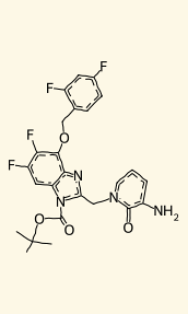 CC(C)(C)OC(=O)n1c(Cn2cccc(N)c2=O)nc2c(OCc3ccc(F)cc3F)c(F)c(F)cc21